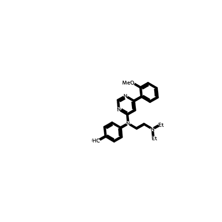 [CH]c1ccc(N(CCN(CC)CC)c2cc(-c3ccccc3OC)ncn2)cc1